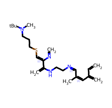 C=CC(=C)/C=C(C)\C=N/CCNC(=C)/C(=C/SCCCN(C)C(C)(C)C)N=C